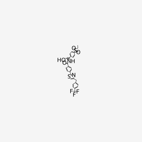 CCS(=O)(=O)c1ccc([C@H](CO)NC(=O)c2ccc(-c3nc(Cc4ccc(C(F)(F)F)cc4)cs3)cc2)cc1